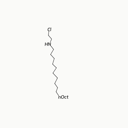 CCCCCCCCCCCCCCCCCCNCCCl